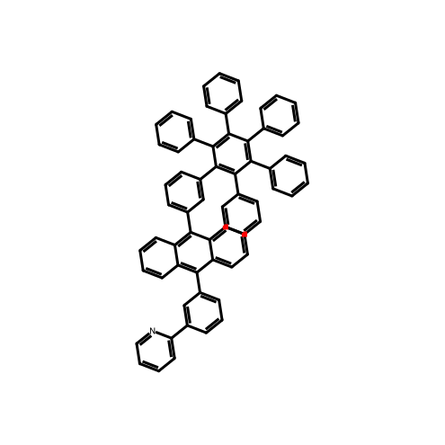 c1ccc(-c2c(-c3ccccc3)c(-c3ccccc3)c(-c3cccc(-c4c5ccccc5c(-c5cccc(-c6ccccn6)c5)c5ccccc45)c3)c(-c3ccccc3)c2-c2ccccc2)cc1